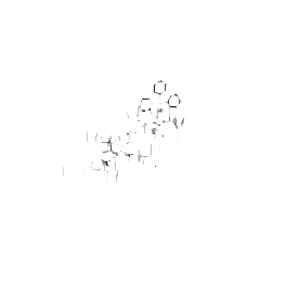 COCC(CCOCP(=O)(O)OC(OC(=O)OC(C)C)OC(=O)OC(C)C)n1cnc2c(NOC)nc(C(c3ccccc3)(c3ccccc3)c3ccccc3)nc21